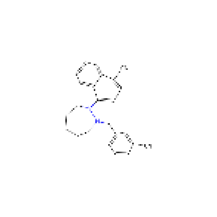 N#Cc1cccc(CN2CCCCCN2c2ccc(C#N)c3ccccc23)c1